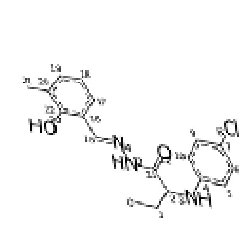 CCC(Nc1ccc(Cl)cc1)C(=O)NN=Cc1cccc(C)c1O